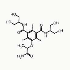 CC(Oc1c(I)c(C(=O)NC(CO)CO)c(I)c(C(=O)NC(CO)CO)c1I)C(N)=O